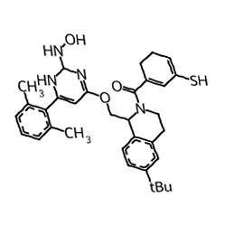 Cc1cccc(C)c1C1=CC(OCC2c3ccc(C(C)(C)C)cc3CCN2C(=O)C2=CC(S)=CCC2)=NC(NO)N1